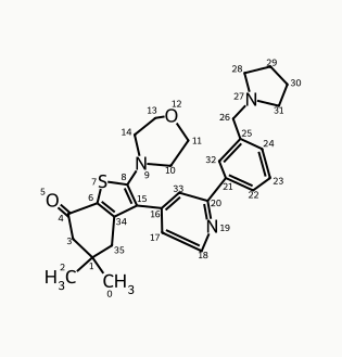 CC1(C)CC(=O)c2sc(N3CCOCC3)c(-c3ccnc(-c4cccc(CN5CCCC5)c4)c3)c2C1